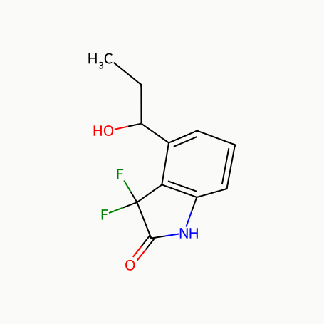 CCC(O)c1cccc2c1C(F)(F)C(=O)N2